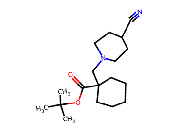 CC(C)(C)OC(=O)C1(CN2CCC(C#N)CC2)CCCCC1